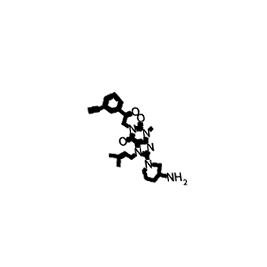 C#Cc1cccc(C(=O)Cn2c(=O)c3c(nc(N4CCCC(N)C4)n3CC=C(C)C)n(C)c2=O)c1